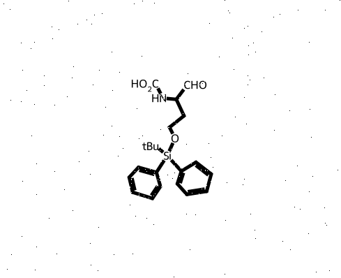 CC(C)(C)[Si](OCCC(C=O)NC(=O)O)(c1ccccc1)c1ccccc1